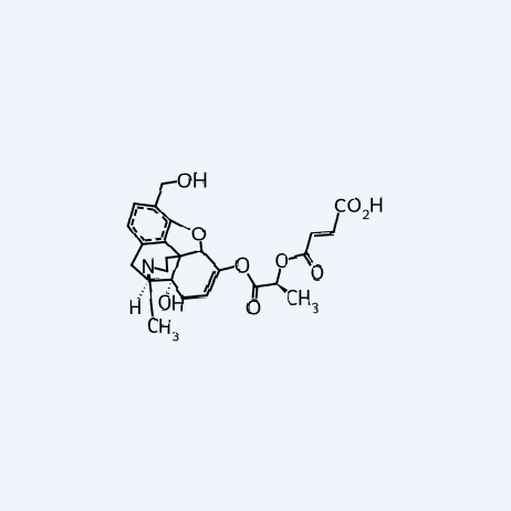 C[C@H](OC(=O)/C=C/C(=O)O)C(=O)OC1=CC[C@@]2(O)[C@H]3Cc4ccc(CO)c5c4C2(CCN3C)C1O5